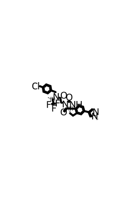 C[C@H](N(Cc1ccc(Cl)cc1)C(=O)CN1C(=O)N[C@]2(CCc3cc(-c4cnn(C)c4)ccc32)C1=O)C(F)(F)F